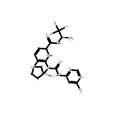 C[C@@H](NC(=O)C1C=CC2=C(N1)N(C(=O)Nc1cc(Cl)ncn1)[C@H]1CCN2C1)C(F)(F)F